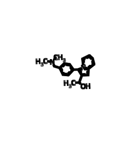 CC(O)c1cc2ccccn2c1-c1ccc(CN(C)C)cc1